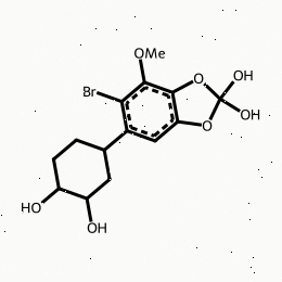 COc1c(Br)c(C2CCC(O)C(O)C2)cc2c1OC(O)(O)O2